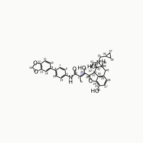 C/C(C(=O)Nc1ccc(-c2ccc3c(c2)OCO3)cc1)=C(/O)[C@@H]1Oc2c(O)ccc3c2[C@@]12CCN(CC1CC1)[C@H](C3)[C@@]2(C)O